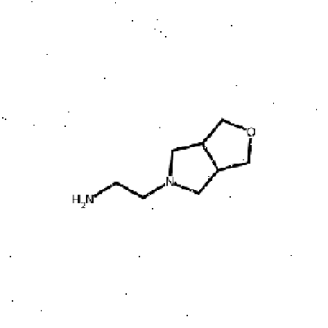 NCCN1CC2COCC2C1